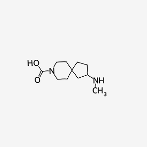 CNC1CCC2(CCN(C(=O)O)CC2)C1